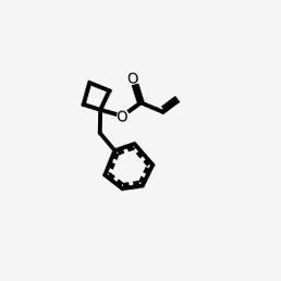 C=CC(=O)OC1(Cc2ccccc2)CCC1